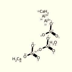 O.O=[Si]([O-])[O-].O=[Si]([O-])[O-].O=[Si]([O-])[O-].[Al+3].[Al+3].[CaH2].[CaH2]